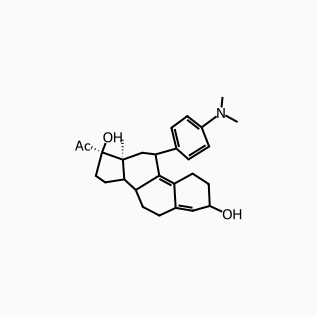 CC(=O)[C@@]1(O)CCC2C3CCC4=CC(O)CCC4=C3C(c3ccc(N(C)C)cc3)C[C@@]21C